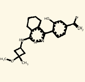 C=C(Br)c1ccc(-c2nnc(NC3CC(C)(OC)C3)c3c2CCCC3)c(O)c1